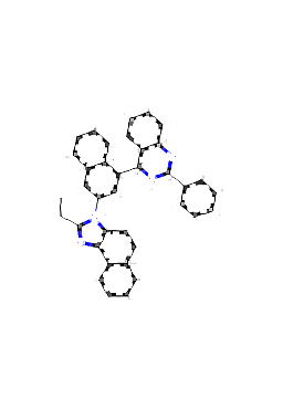 CCc1nc2c3ccccc3ccc2n1-c1cc(-c2nc(-c3ccccc3)nc3ccccc23)c2ccccc2c1